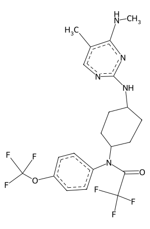 CNc1nc(NC2CCC(N(C(=O)C(F)(F)F)c3ccc(OC(F)(F)F)cc3)CC2)ncc1C